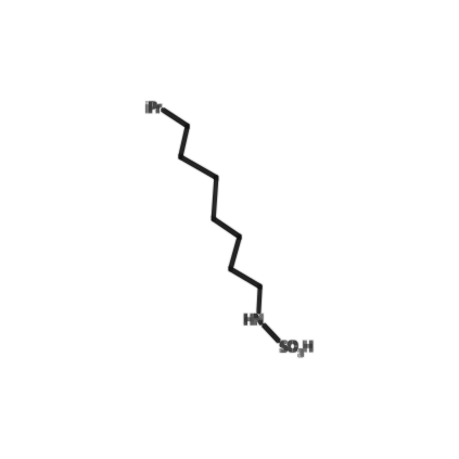 CC(C)CCCCCCCNS(=O)(=O)O